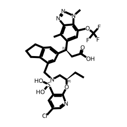 CC[C@@H]1CN(Cc2cc([C@H](CC(=O)O)c3cc(OC(F)(F)F)c4c(nnn4C)c3C)cc3c2CCC3)S(O)(O)c2cc(Cl)cnc2O1